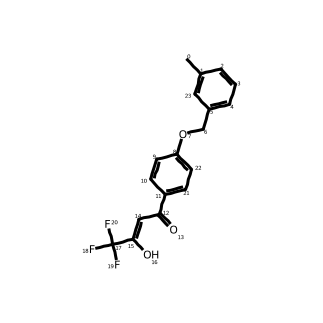 Cc1cccc(COc2ccc(C(=O)/C=C(\O)C(F)(F)F)cc2)c1